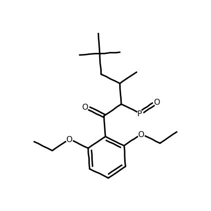 CCOc1cccc(OCC)c1C(=O)C(P=O)C(C)CC(C)(C)C